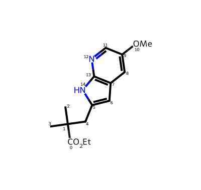 CCOC(=O)C(C)(C)Cc1cc2cc(OC)cnc2[nH]1